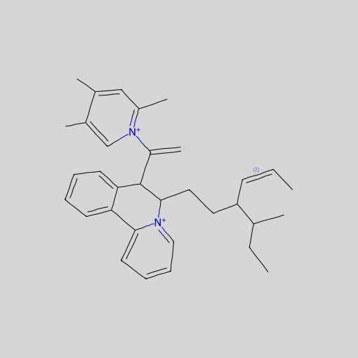 C=C(C1c2ccccc2-c2cccc[n+]2C1CCC(/C=C\C)C(C)CC)[n+]1cc(C)c(C)cc1C